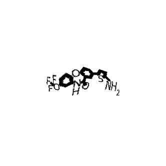 NCc1ccc(-c2ccc3c(c2)C(=O)Nc2cc(OC(F)(F)F)ccc2O3)s1